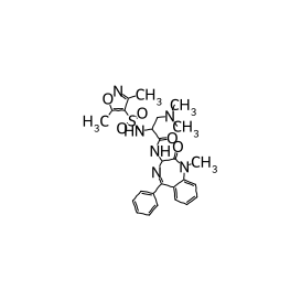 Cc1noc(C)c1S(=O)(=O)NC(CN(C)C)C(=O)NC1N=C(c2ccccc2)c2ccccc2N(C)C1=O